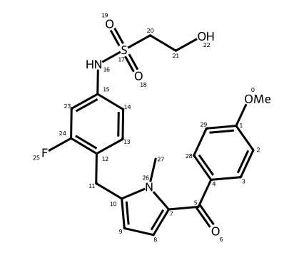 COc1ccc(C(=O)c2ccc(Cc3ccc(NS(=O)(=O)CCO)cc3F)n2C)cc1